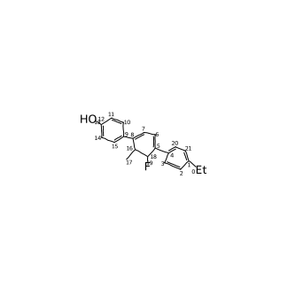 CCc1ccc(C2=CC=C(c3ccc(O)cc3)C(C)C2F)cc1